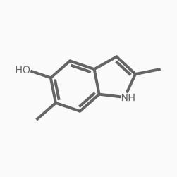 Cc1cc2cc(O)c(C)cc2[nH]1